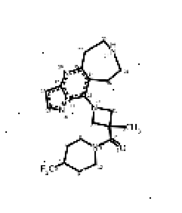 CC1(C(=O)N2CCC(C(F)(F)F)CC2)CN(c2c3c(nc4ccnn24)CCNCC3)C1